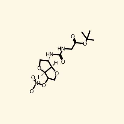 CC(C)(C)OC(=O)CNC(=O)N[C@H]1CO[C@@H]2C(O[N+](=O)[O-])CO[C@H]12